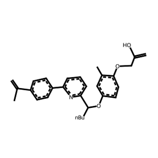 C=C(O)COc1ccc(OC(CCCC)c2cccc(-c3ccc(C(=C)C)cc3)n2)cc1C